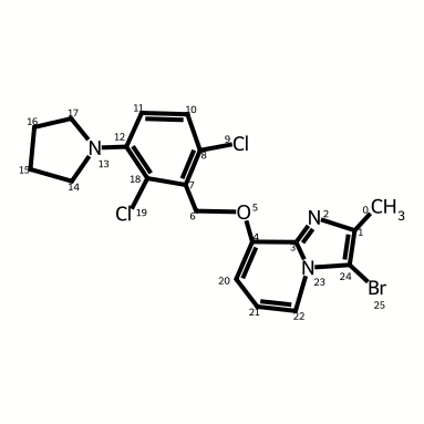 Cc1nc2c(OCc3c(Cl)ccc(N4CCCC4)c3Cl)cccn2c1Br